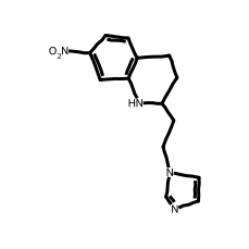 O=[N+]([O-])c1ccc2c(c1)NC(CCn1ccnc1)CC2